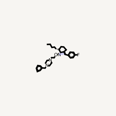 CCCCC[C@@H]1CCCC(=C\c2ccc(F)cc2)/C1=N/OCCN1CCN(Cc2ccccc2)CC1